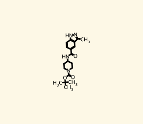 Cc1n[nH]c2ccc(C(=O)NC3CCN(C(=O)OC(C)(C)C)CC3)cc12